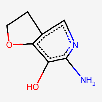 Nc1ncc2c(c1O)OCC2